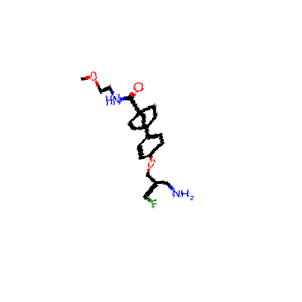 COCCNC(=O)C12CCC(c3ccc(OC/C(=C/F)CN)cc3)(CC1)CC2